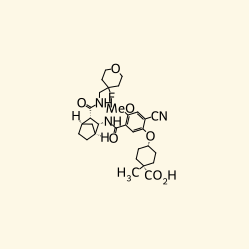 COc1cc(C#N)c(O[C@H]2CC[C@@](C)(C(=O)O)CC2)cc1C(=O)N[C@@H]1[C@H]2CC[C@H](C2)[C@@H]1C(=O)NCC1(F)CCOCC1